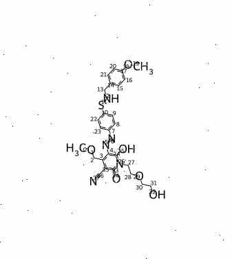 COCc1c(/N=N/c2ccc(SNCc3ccc(OC)cc3)cc2)c(O)n(CCOCCO)c(=O)c1C#N